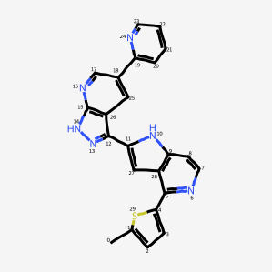 Cc1ccc(-c2nccc3[nH]c(-c4n[nH]c5ncc(-c6ccccn6)cc45)cc23)s1